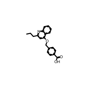 CCCc1cc(OCc2ccc(C(=O)O)cc2)c2ccccc2n1